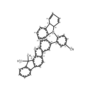 CC1(C)c2ccccc2-c2ccc3c(oc4ccc(-c5cc(C#N)ccc5N5c6ccccc6C6C=CC=CC65)cc43)c21